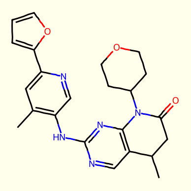 Cc1cc(-c2ccco2)ncc1Nc1ncc2c(n1)N(C1CCOCC1)C(=O)CC2C